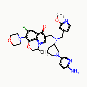 COc1cc(CN(Cc2cn3c4c(c(N5CCOCC5)c(F)cc4c2=O)OCC3C)[C@H]2CCCN(c3ccc(N)nc3)C2)ccn1